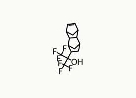 OC(C1CC2CC1C1C3C=CC(C3)C21)(C(F)(F)F)C(F)(F)F